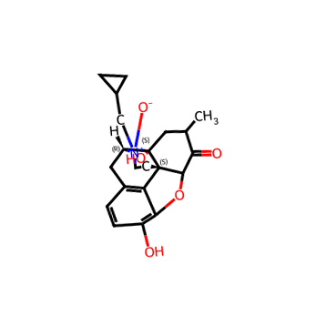 CC1C[C@@]2(O)[C@H]3Cc4ccc(O)c5c4[C@@]2(CC[N+]3([O-])CC2CC2)C(O5)C1=O